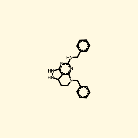 c1ccc(CNc2nc3c4c(n2)N(Cc2ccccc2)CCC4NN3)cc1